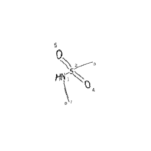 [CH]NS(C)(=O)=O